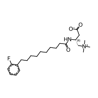 C[N+](C)(C)C[C@@H](CC(=O)[O-])NC(=O)CCCCCCCCCc1ccccc1F